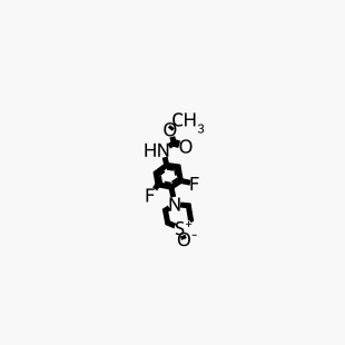 COC(=O)Nc1cc(F)c(N2CC[S+]([O-])CC2)c(F)c1